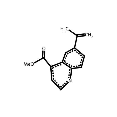 C=C(C)c1ccc2nccc(C(=O)OC)c2c1